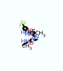 CCCNC(=O)Cn1ccnc1[C@@H](NC(=O)Nc1ccc(C(F)(F)F)cc1)C(C)C